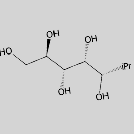 CC(C)[C@H](O)[C@@H](O)[C@H](O)[C@H](O)CO